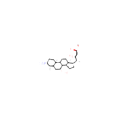 COC(=O)CC[C@@H](C)[C@H]1CCC2C3C(C[C@H](O)[C@@]21C)[C@@]1(C)CC[C@H](N)C[C@H]1C[C@H]3O